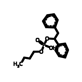 CCCCOP(=O)(O)OC(Cc1ccccc1)c1ccccc1